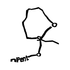 CCCCCO[Si]1(C)CCCCO1